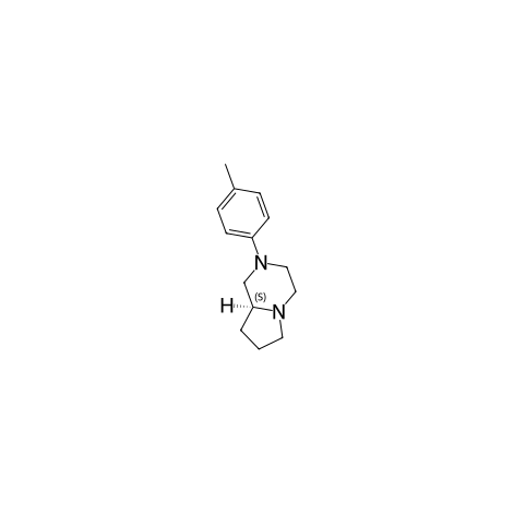 Cc1ccc(N2CCN3CCC[C@H]3C2)cc1